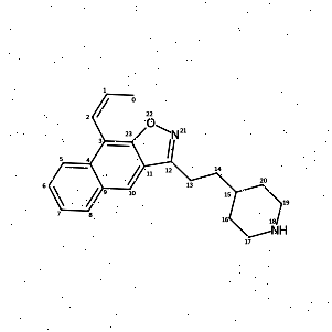 C/C=C\c1c2ccccc2cc2c(CCC3CCNCC3)noc12